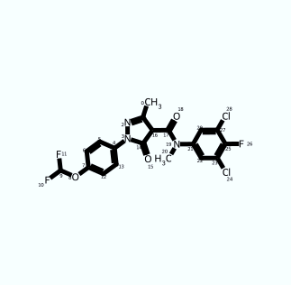 CC1=NN(c2ccc(OC(F)F)cc2)C(=O)C1C(=O)N(C)c1cc(Cl)c(F)c(Cl)c1